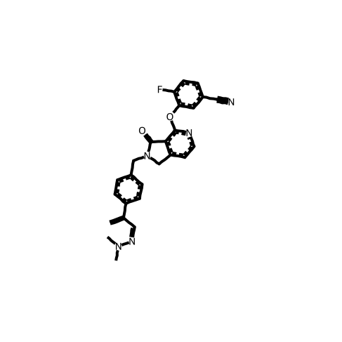 C=C(/C=N\N(C)C)c1ccc(CN2Cc3ccnc(Oc4cc(C#N)ccc4F)c3C2=O)cc1